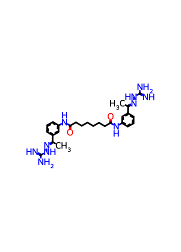 C/C(=N\NC(=N)N)c1cccc(NC(=O)CCCCCCC(=O)Nc2cccc(/C(C)=N/NC(=N)N)c2)c1